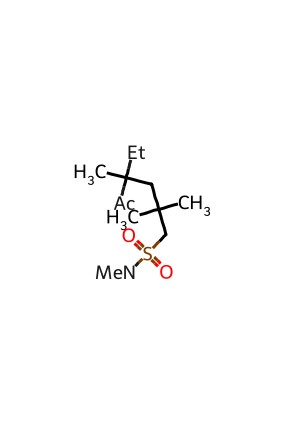 CCC(C)(CC(C)(C)CS(=O)(=O)NC)C(C)=O